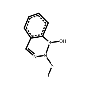 OB1c2ccccc2C=NN1SI